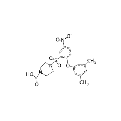 Cc1cc(C)cc(Oc2ccc([N+](=O)[O-])cc2S(=O)(=O)N2CCN(C(=O)O)CC2)c1